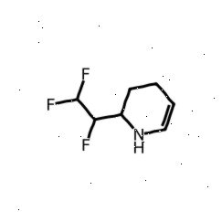 FC(F)C(F)C1CCC=CN1